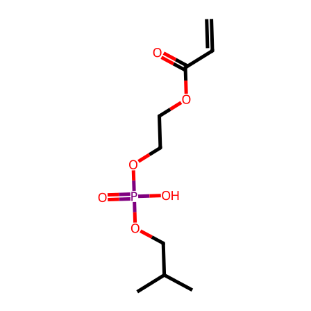 C=CC(=O)OCCOP(=O)(O)OCC(C)C